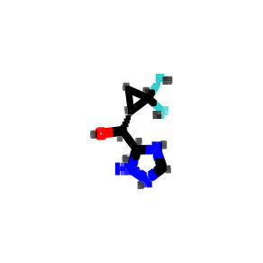 O=C(c1ncn[nH]1)[C@@H]1CC1(F)F